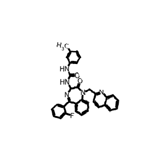 Cc1cccc(NC(=O)NC2N=C(c3ccccc3F)c3ccccc3N(Cc3ccc4ccccc4n3)C2=O)c1